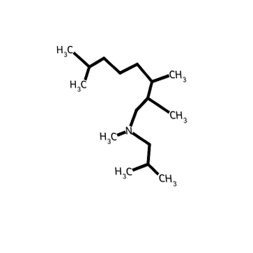 CC(C)CCCC(C)C(C)CN(C)CC(C)C